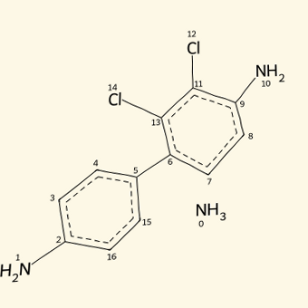 N.Nc1ccc(-c2ccc(N)c(Cl)c2Cl)cc1